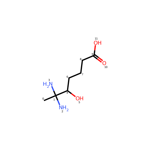 CC(N)(N)C(O)CCCC(=O)O